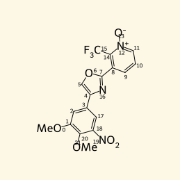 COc1cc(-c2coc(-c3ccc[n+]([O-])c3C(F)(F)F)n2)cc([N+](=O)[O-])c1OC